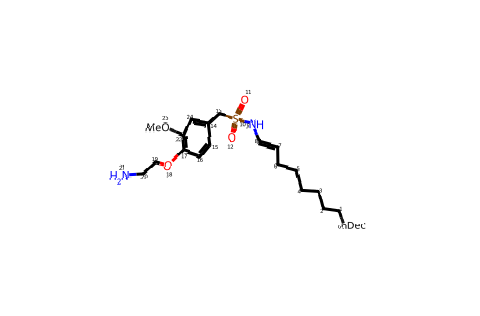 CCCCCCCCCCCCCCCCC=CNS(=O)(=O)Cc1ccc(OCCN)c(OC)c1